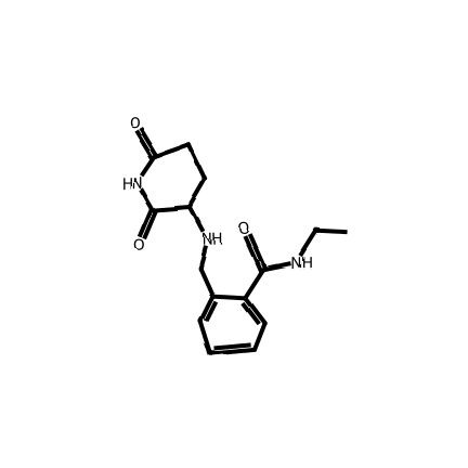 CCNC(=O)c1ccccc1CNC1CCC(=O)NC1=O